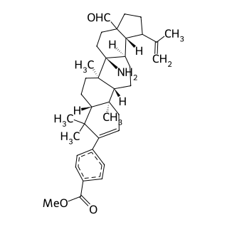 C=C(C)C1CCC2(C=O)CC[C@]3(N)[C@H](CC[C@@H]4[C@@]5(C)CC=C(c6ccc(C(=O)OC)cc6)C(C)(C)[C@@H]5CC[C@]43C)[C@@H]12